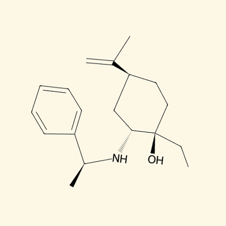 C=C(C)[C@H]1CC[C@](O)(CC)[C@H](N[C@@H](C)c2ccccc2)C1